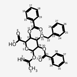 CC(=N)OC1OC(C(=O)O)C(OC(=O)c2ccccc2)C(OCc2ccccc2)C1OC(=O)c1ccccc1